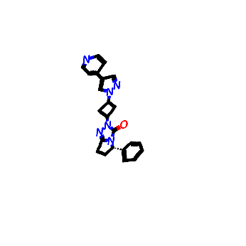 O=c1n(C2CC(n3cc(-c4ccncc4)cn3)C2)nc2n1[C@H](c1ccccc1)CC2